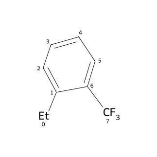 CCc1ccccc1C(F)(F)F